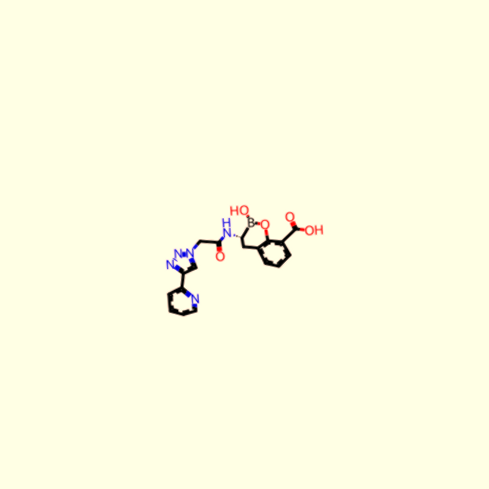 O=C(Cn1cc(-c2ccccn2)nn1)N[C@H]1Cc2cccc(C(=O)O)c2OB1O